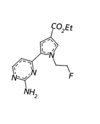 CCOC(=O)c1cc(-c2ccnc(N)n2)n(CCF)c1